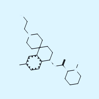 CC(=O)N1CCCC[C@H]1C(=O)N[C@@H]1CCC2(CCN(CCC(C)(C)C)CC2)c2cc(F)ccc21